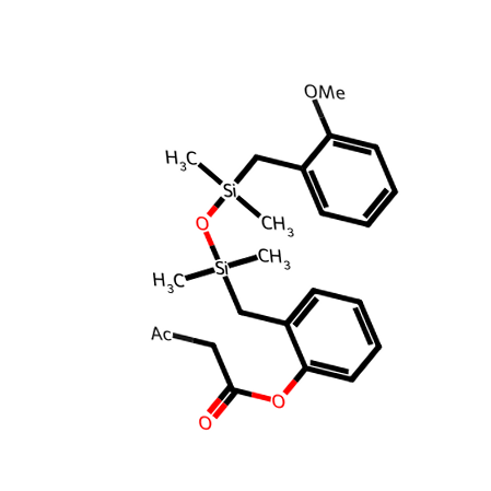 COc1ccccc1C[Si](C)(C)O[Si](C)(C)Cc1ccccc1OC(=O)CC(C)=O